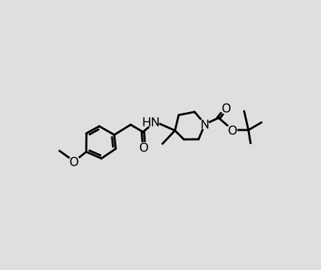 COc1ccc(CC(=O)NC2(C)CCN(C(=O)OC(C)(C)C)CC2)cc1